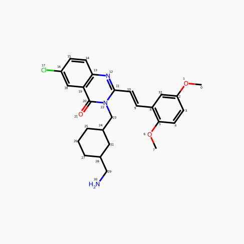 COc1ccc(OC)c(C=Cc2nc3ccc(Cl)cc3c(=O)n2CC2CCCC(CN)C2)c1